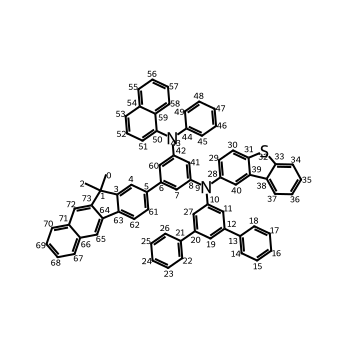 CC1(C)c2cc(-c3cc(N(c4cc(-c5ccccc5)cc(-c5ccccc5)c4)c4ccc5sc6ccccc6c5c4)cc(N(c4ccccc4)c4cccc5ccccc45)c3)ccc2-c2cc3ccccc3cc21